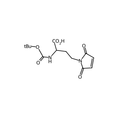 CC(C)(C)OC(=O)NC(CCN1C(=O)C=CC1=O)C(=O)O